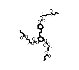 CCCC(=O)OCC[C@@H](C)OC(=O)Oc1ccc(/C=C/c2cc(OC(=O)O[C@H](C)CCOC(=O)CCC)cc(OC(=O)O[C@H](C)CCOC(=O)CCC)c2)cc1